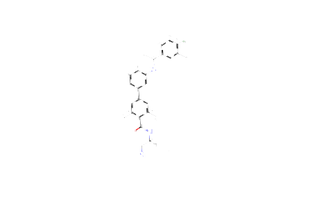 Cc1cc(C(C)Nc2cccc(-c3cc(C)c(C(=O)NC(CN)C(=O)O)c(C)c3)c2)ccc1Cl